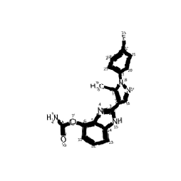 Cc1c(-c2nc3c(OC(N)=O)cccc3[nH]2)cnn1-c1ccc(F)cc1